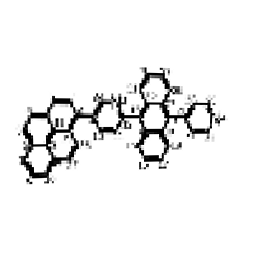 c1cc2ccc3ccc(-c4ccc(-c5c6ccccc6c(-c6ccncc6)c6ccccc56)nc4)c4ccc(c1)c2c34